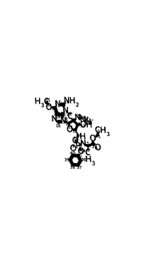 CCOC(=O)[C@H](C)NP(=O)(OC[C@H]1O[C@@H](n2cnc3c(OC)nc(N)nc32)[C@](C)(N=[N+]=[N-])C1O)Oc1ccccc1